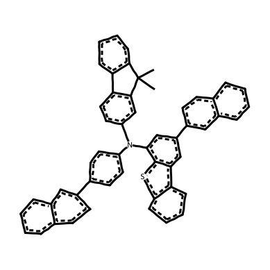 CC1(C)c2ccccc2-c2ccc(N(c3ccc(-c4ccc5ccccc5c4)cc3)c3cc(-c4ccc5ccccc5c4)cc4c3sc3ccccc34)cc21